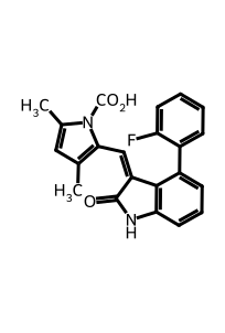 Cc1cc(C)n(C(=O)O)c1C=C1C(=O)Nc2cccc(-c3ccccc3F)c21